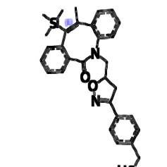 C/C1=C(\[Si](C)(C)C)c2ccccc2C(=O)N(CC2CC(c3ccc(CO)cc3)=NO2)c2ccccc21